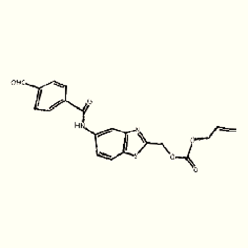 C=CCOC(=O)OCc1nc2cc(NC(=O)c3ccc(C=O)cc3)ccc2s1